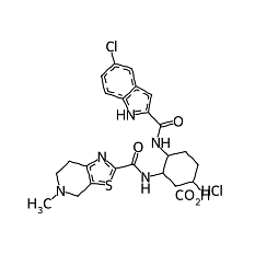 CN1CCc2nc(C(=O)NC3CC(C(=O)O)CCC3NC(=O)c3cc4cc(Cl)ccc4[nH]3)sc2C1.Cl